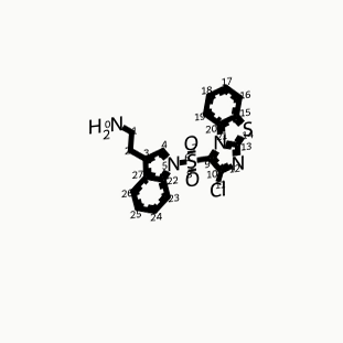 NCCc1cn(S(=O)(=O)c2c(Cl)nc3sc4ccccc4n23)c2ccccc12